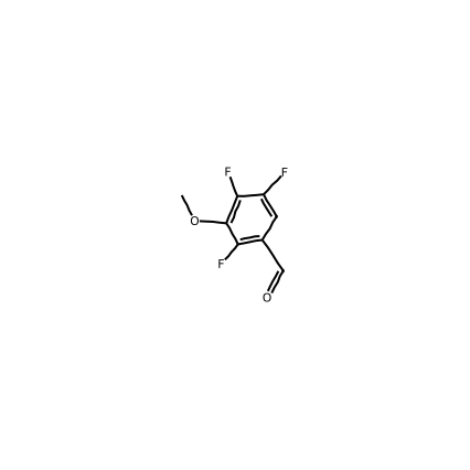 COc1c(F)c(F)cc(C=O)c1F